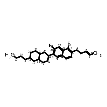 C/C=C/CCc1ccc2cc(C3CCC4CC(CCCC)CCC4C3)c(F)cc2c1F